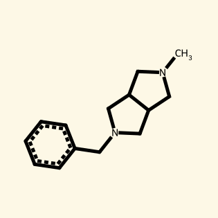 CN1CC2CN(Cc3ccccc3)CC2C1